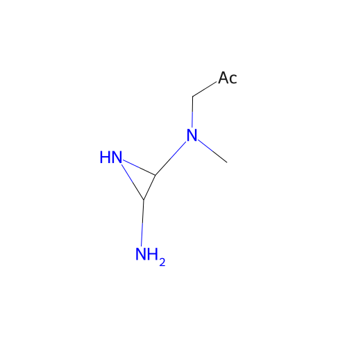 CC(=O)CN(C)C1NC1N